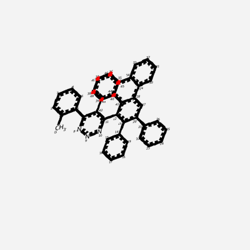 Cc1ccccc1-c1nnnc(-c2c(-c3ccccc3)c(-c3ccccc3)cc3c4ccccc4c4ccccc4c23)c1-c1ccccn1